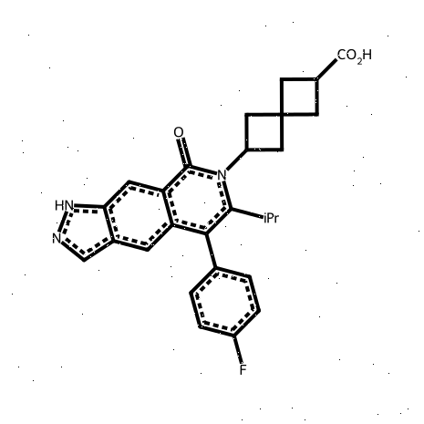 CC(C)c1c(-c2ccc(F)cc2)c2cc3cn[nH]c3cc2c(=O)n1C1CC2(CC(C(=O)O)C2)C1